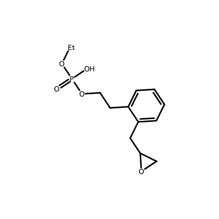 CCOP(=O)(O)OCCc1ccccc1CC1CO1